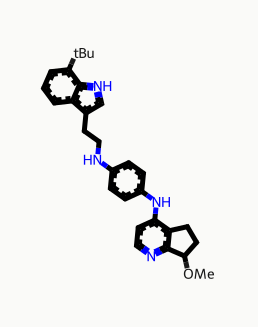 COC1CCc2c(Nc3ccc(NCCc4c[nH]c5c(C(C)(C)C)cccc45)cc3)ccnc21